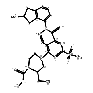 COC1Cc2cccc(-n3ncc4c(N5CCN(C(=O)OC(C)(C)C)C(CC#N)C5)nc(S(C)(=O)=O)nc4c3=O)c2C1